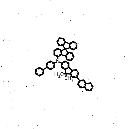 CC1(C)c2cc(-c3ccc4ccccc4c3)ccc2-c2ccc(N(c3ccc(-c4ccccc4)cc3)c3cccc4c3-c3ccccc3C43c4ccccc4-c4ccccc43)cc21